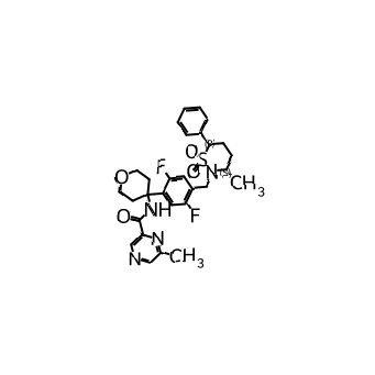 Cc1cncc(C(=O)NC2(c3cc(F)c(CN4[C@@H](C)CC[C@H](c5ccccc5)S4(=O)=O)cc3F)CCOCC2)n1